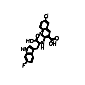 O=C(O)c1cc2cc(Cl)ccc2nc1NC(Cc1c[nH]c2cc(F)ccc12)C(=O)O